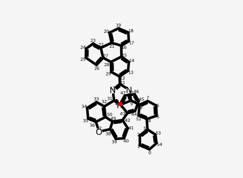 c1ccc(-c2cccc(-c3nc(-c4ccc5c6ccccc6c6ccccc6c5c4)nc(-c4cccc5oc6cccc(-c7ccccc7)c6c45)n3)c2)cc1